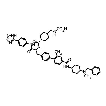 Cc1cc(C(=O)NC2CCC(N(C)Cc3ccccc3)CC2)ccc1-c1ccc(C[C@H](NC(=O)[C@H]2CC[C@H](CNC(=O)O)CC2)C(=O)Nc2ccc(-c3nnn[nH]3)cc2)cc1